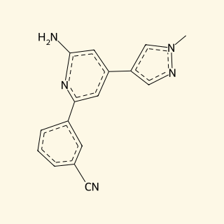 Cn1cc(-c2cc(N)nc(-c3cccc(C#N)c3)c2)cn1